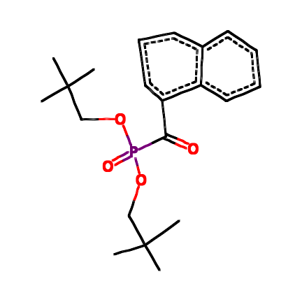 CC(C)(C)COP(=O)(OCC(C)(C)C)C(=O)c1cccc2ccccc12